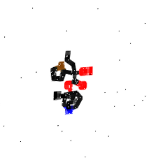 C=CCC(O)(C(=O)O[C@H]1CN2CCC1CC2)c1cccs1